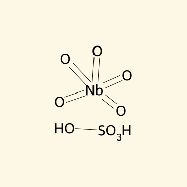 O=S(=O)(O)O.[O]=[Nb](=[O])(=[O])(=[O])=[O]